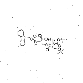 CC(C)(C)OC[C@H](NC(=O)OC(C)(C)C)C(=O)NC[C@H](NC(=O)OCC1c2ccccc2-c2ccccc21)C(=O)O